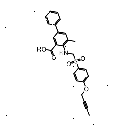 CC#CCOc1ccc(S(=O)(=O)CNc2c(C)cc(-c3ccccc3)cc2C(=O)O)cc1